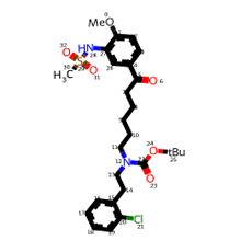 COc1ccc(C(=O)CCCCCN(CCc2ccccc2Cl)C(=O)OC(C)(C)C)cc1NS(C)(=O)=O